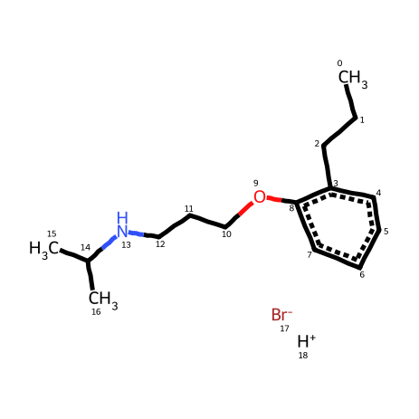 CCCc1ccccc1OCCCNC(C)C.[Br-].[H+]